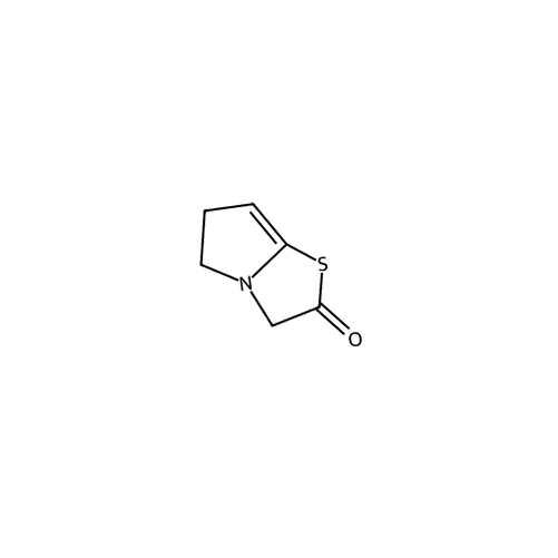 O=C1CN2CCC=C2S1